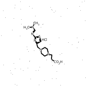 CN(C)C=Nc1nc(CN2CCN(CCC(=O)O)CC2)cs1.Cl